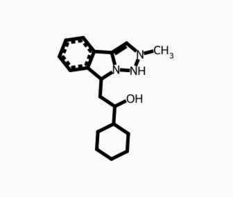 CN1C=C2c3ccccc3C(CC(O)C3CCCCC3)N2N1